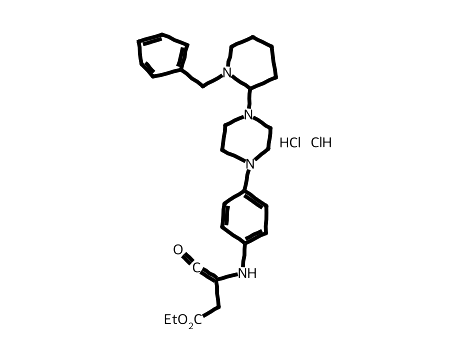 CCOC(=O)CC(=C=O)Nc1ccc(N2CCN(C3CCCCN3Cc3ccccc3)CC2)cc1.Cl.Cl